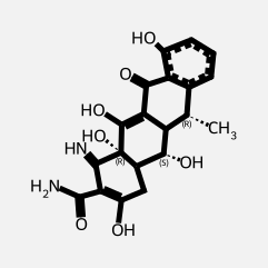 C[C@H]1c2cccc(O)c2C(=O)C2=C(O)[C@]3(O)C(=N)C(C(N)=O)=C(O)CC3[C@@H](O)C21